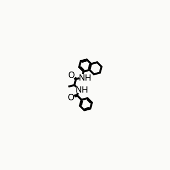 CC(NC(=O)c1ccccc1)C(=O)Nc1cccc2c1CCCC2